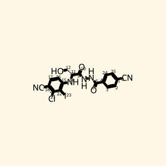 N#Cc1ccc(C(=O)NNC(=O)[C@@H](CO)Nc2ccc(C#N)c(Cl)c2I)cc1